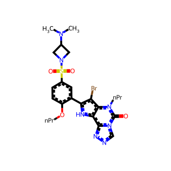 CCCOc1ccc(S(=O)(=O)N2CC(N(C)C)C2)cc1-c1[nH]c2c(c1Br)n(CCC)c(=O)n1cnnc21